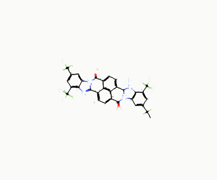 CC(F)(F)c1cc2c(c(C(F)(F)F)c1)NC1c3ccc4c(=O)n5c6cc(C(F)(F)F)cc(C(F)(F)F)c6nc5c5ccc(c3c45)C(=O)N21